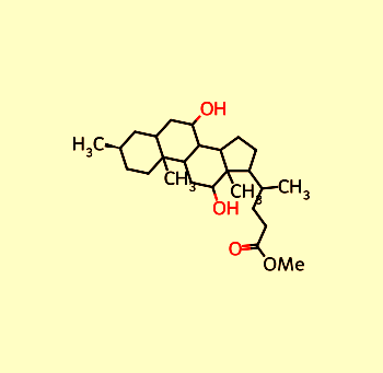 COC(=O)CCC(C)C1CCC2C3C(O)CC4C[C@H](C)CCC4(C)C3CC(O)C12C